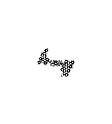 CCC(CC(CC(CC(CC(CC(CC)c1ccccc1)c1ccccc1)c1ccc(NC(=O)CC(C)(C)C2=C(C)C(=O)C(C(C)(C)CC(=O)Nc3ccc(C(CC(CC(CC(CC)c4ccccc4)c4ccccc4)c4ccccc4)CC(CC(CC(CC)c4ccccc4)c4ccccc4)c4ccccc4)cc3)=C(C)C2=O)cc1)c1ccccc1)c1ccccc1)c1ccccc1